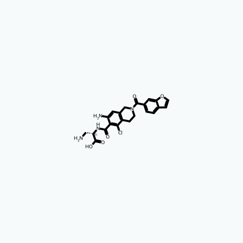 NC[C@H](NC(=O)c1c(N)cc2c(c1Cl)CCN(C(=O)c1ccc3ccoc3c1)C2)C(=O)O